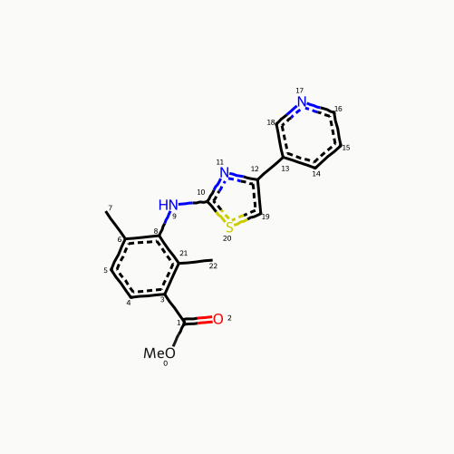 COC(=O)c1ccc(C)c(Nc2nc(-c3cccnc3)cs2)c1C